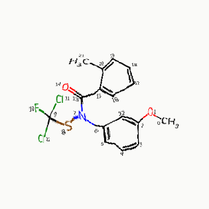 COc1cccc(N(SC(F)(Cl)Cl)C(=O)c2ccccc2C)c1